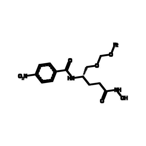 CCOCOC[C@H](CCC(=O)NO)NC(=O)c1ccc([N+](=O)[O-])cc1